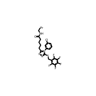 CC(C)CNC(=O)CCCCc1nnc(SCc2c(F)c(F)c(F)c(F)c2F)n1-c1cccc(Cl)c1